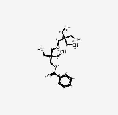 O=C(OCC(CO)(CO)COCC(CO)(CO)CO)c1ccccc1